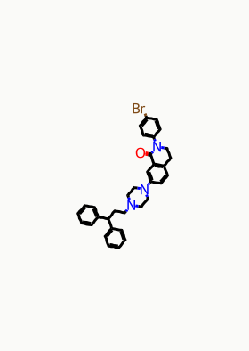 O=C1c2cc(N3CCN(CCC(c4ccccc4)c4ccccc4)CC3)ccc2CCN1c1ccc(Br)cc1